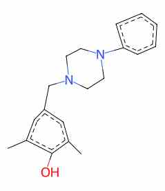 Cc1cc(CN2CCN(c3ccccc3)CC2)cc(C)c1O